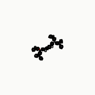 c1ccc(-n2c3ccccc3c3cc(N(c4ccc5c(c4)oc4cc6cc7oc8cc(N(c9ccc%10oc%11ccccc%11c%10c9)c9ccc%10c(c9)c9ccccc9n%10-c9ccccc9)ccc8c7cc6cc45)c4ccc5oc6ccccc6c5c4)ccc32)cc1